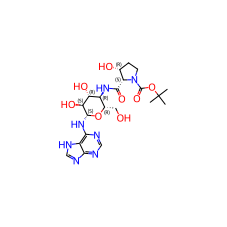 CC(C)(C)OC(=O)N1CC[C@@H](O)[C@H]1C(=O)N[C@@H]1[C@@H](O)[C@H](O)[C@@H](Nc2ncnc3nc[nH]c23)O[C@H]1CO